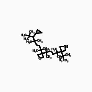 CC(C)(C)C(C1CC1)C(C)(C)CCC(C)(C)C1(C(C)(C)CCC(C)(C)C2(C(C)(C)C)CNC2)COC1